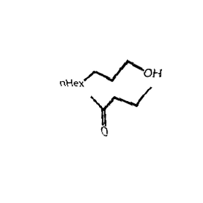 CCCC(C)=O.CCCCCCCCCO